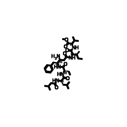 CC[C@H](NC(=O)[C@H](CC(C)C)NC(=O)CC(C)C)C(=O)N[C@@H](Cc1ccccc1)[C@@H](N)CC(=O)N[C@H](C(=O)N[C@H](C(=O)OC)C(C)C)[C@@H](C)CC